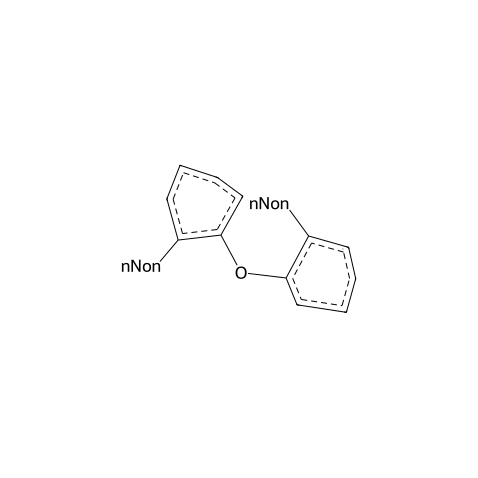 CCCCCCCCCc1ccccc1Oc1ccccc1CCCCCCCCC